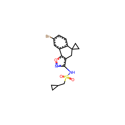 O=S(=O)(CC1CC1)Nc1noc2c1CC1(CC1)c1ccc(Br)cc1-2